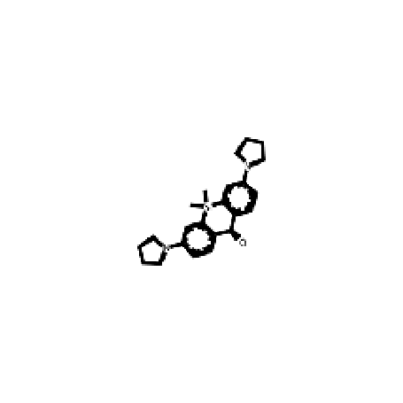 C[Si]1(C)c2cc(N3CCCC3)ccc2C(=O)c2ccc(N3CCCC3)cc21